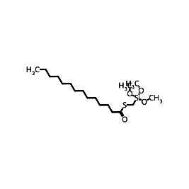 CCCCCCCCCCCCCC(=O)SC[Si](OC)(OC)OC